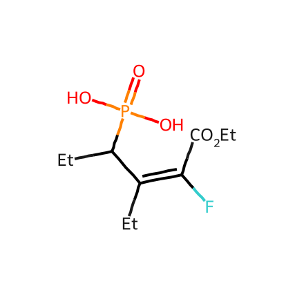 CCOC(=O)C(F)=C(CC)C(CC)P(=O)(O)O